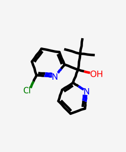 CC(C)(C)C(O)(c1ccccn1)c1cccc(Cl)n1